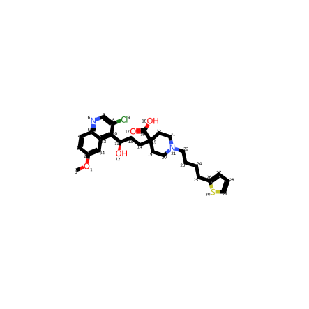 COc1ccc2ncc(Cl)c([C@H](O)CCC3(C(=O)O)CCN(CCCCc4cccs4)CC3)c2c1